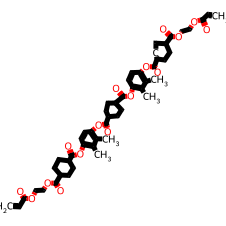 C=CC(=O)OCCOC(=O)C1CCC(C(=O)Oc2ccc(OC(=O)C3CCC(C(=O)Oc4ccc(OC(=O)C5CCC(C(=O)OCCOC(=O)C=C)CC5)c(C)c4C)CC3)c(C)c2C)CC1